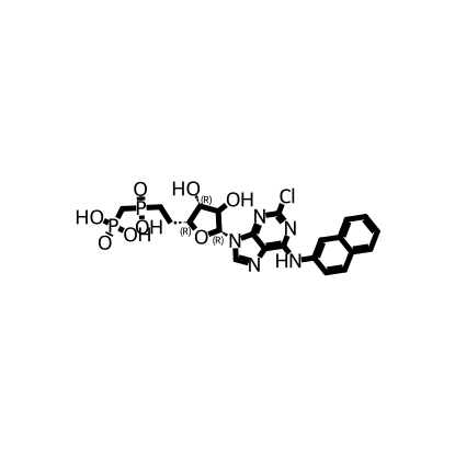 O=P(O)(O)CP(=O)(O)CC[C@H]1O[C@@H](n2cnc3c(Nc4ccc5ccccc5c4)nc(Cl)nc32)C(O)[C@H]1O